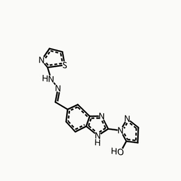 Oc1ccnn1-c1nc2cc(C=NNc3nccs3)ccc2[nH]1